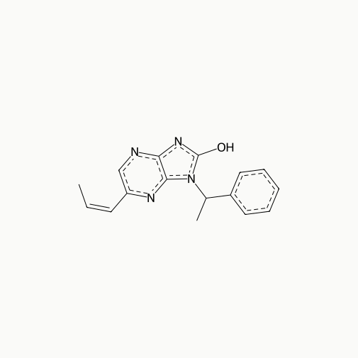 C/C=C\c1cnc2nc(O)n(C(C)c3ccccc3)c2n1